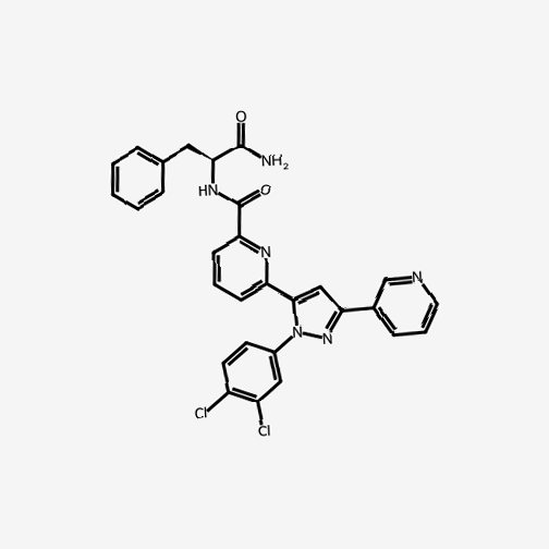 NC(=O)[C@H](Cc1ccccc1)NC(=O)c1cccc(-c2cc(-c3cccnc3)nn2-c2ccc(Cl)c(Cl)c2)n1